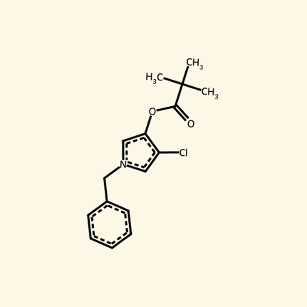 CC(C)(C)C(=O)Oc1cn(Cc2ccccc2)cc1Cl